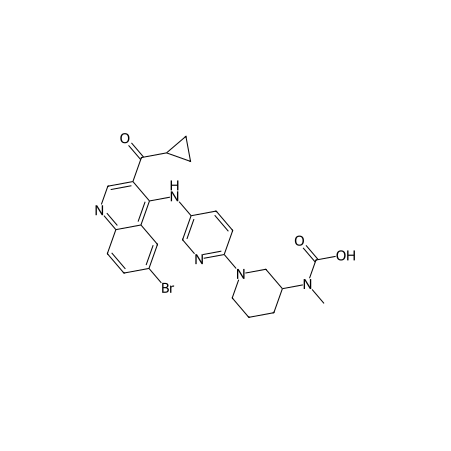 CN(C(=O)O)C1CCCN(c2ccc(Nc3c(C(=O)C4CC4)cnc4ccc(Br)cc34)cn2)C1